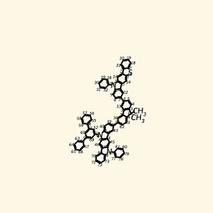 CC1(C)c2ccc(-c3ccc4c(c3)c3cc5sc6ccccc6c5cc3n4-c3ccccc3)cc2-c2cc(-c3ccc4c(c3)c3cc5c(cc3n4-c3cc(-c4ccccc4)cc(-c4ccccc4)c3)c3ccccc3n5-c3ccccc3)ccc21